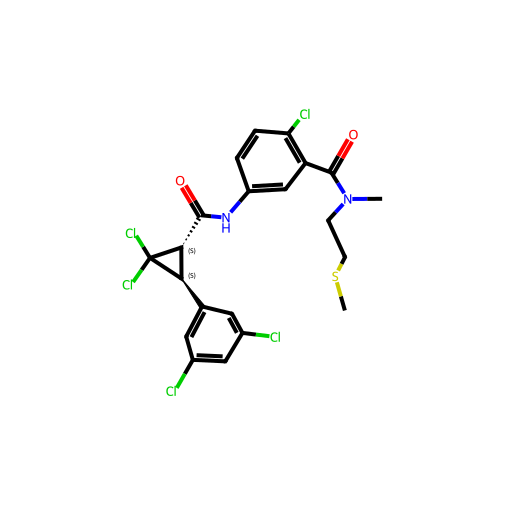 CSCCN(C)C(=O)c1cc(NC(=O)[C@@H]2[C@@H](c3cc(Cl)cc(Cl)c3)C2(Cl)Cl)ccc1Cl